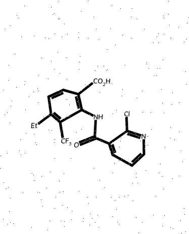 CCc1ccc(C(=O)O)c(NC(=O)c2cccnc2Cl)c1C(F)(F)F